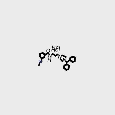 C/C=C/c1cccc(C(=O)NCCCN2CCN(C(c3ccccc3)c3ccccc3)CC2)c1.Cl.Cl